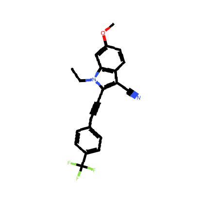 CCn1c(C#Cc2ccc(C(F)(F)F)cc2)c(C#N)c2ccc(OC)cc21